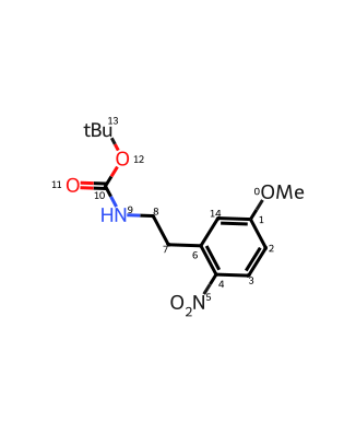 COc1ccc([N+](=O)[O-])c(CCNC(=O)OC(C)(C)C)c1